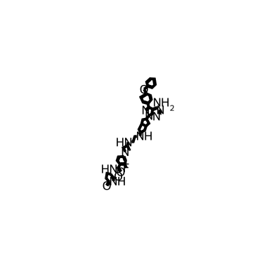 Nc1ncnc2c1c(-c1ccc(Oc3ccccc3)cc1)nn2C1CC2CC(NCCNC3CN(c4ccc(C(=O)NC5CCC(=O)NC5=O)c(F)c4)C3)CC2C1